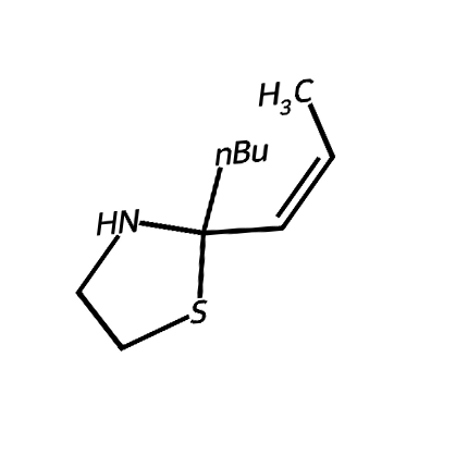 C/C=C\C1(CCCC)NCCS1